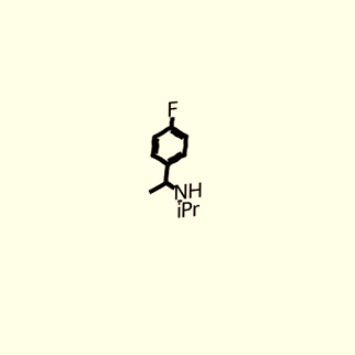 CC(C)NC(C)c1ccc(F)cc1